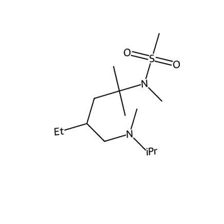 CCC(CN(C)C(C)C)CC(C)(C)N(C)S(C)(=O)=O